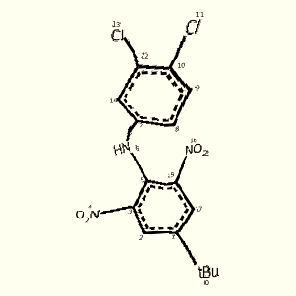 CC(C)(C)c1cc([N+](=O)[O-])c(Nc2ccc(Cl)c(Cl)c2)c([N+](=O)[O-])c1